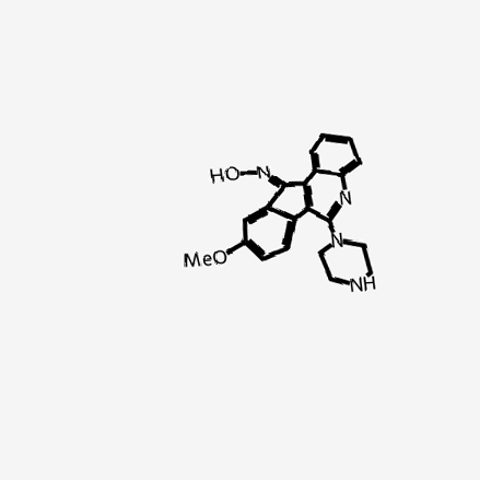 COc1ccc2c(c1)C(=NO)c1c-2c(N2CCNCC2)nc2ccccc12